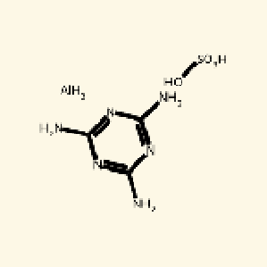 Nc1nc(N)nc(N)n1.O=S(=O)(O)O.[AlH3]